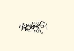 CCC(N[S@+]([O-])C(C)(C)C)c1cnc(C(F)(F)F)nc1